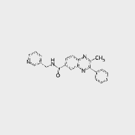 Cc1nc2ccc(C(=O)NCc3cccnc3)cc2nc1-c1ccccc1